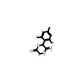 Cc1cc(C)c(C2OC(=O)COC2=O)c(C)c1